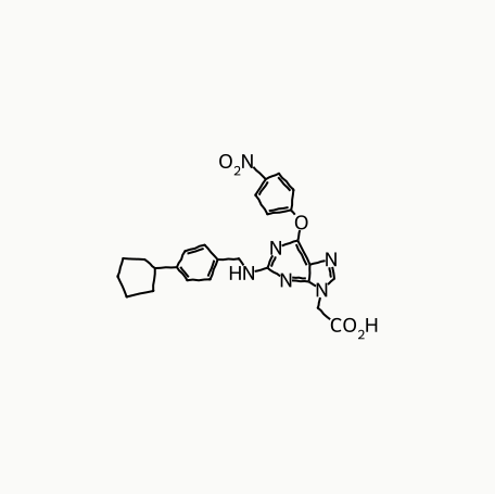 O=C(O)Cn1cnc2c(Oc3ccc([N+](=O)[O-])cc3)nc(NCc3ccc(C4CCCCC4)cc3)nc21